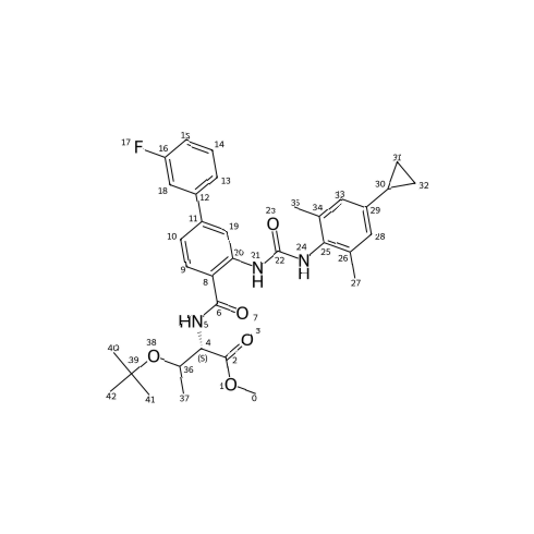 COC(=O)[C@@H](NC(=O)c1ccc(-c2cccc(F)c2)cc1NC(=O)Nc1c(C)cc(C2CC2)cc1C)C(C)OC(C)(C)C